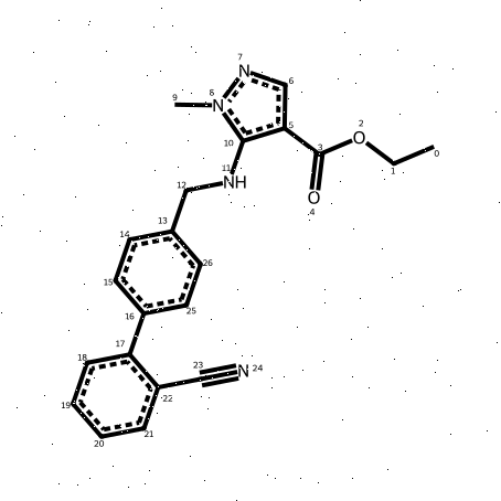 CCOC(=O)c1cnn(C)c1NCc1ccc(-c2ccccc2C#N)cc1